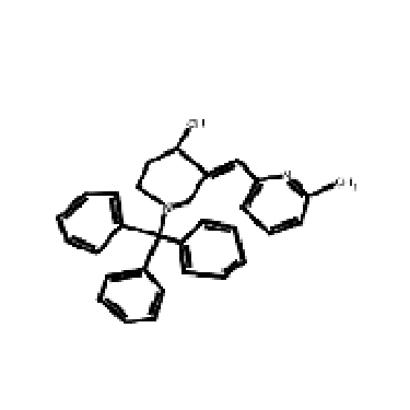 Cc1cccc(/C=C2\CN(C(c3ccccc3)(c3ccccc3)c3ccccc3)CCC2O)n1